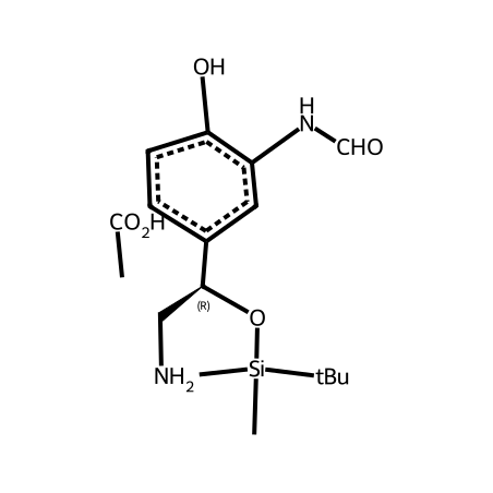 CC(=O)O.CC(C)(C)[Si](C)(C)O[C@@H](CN)c1ccc(O)c(NC=O)c1